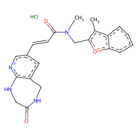 Cc1c(CN(C)C(=O)C=Cc2cnc3c(c2)CNC(=O)CN3)oc2ccccc12.Cl